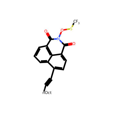 CCCCCCCCC#Cc1ccc2c3c(cccc13)C(=O)N(OSC(F)(F)F)C2=O